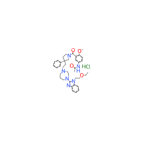 CCOCCn1c(N2CCCN(CCC3(c4ccccc4)CCN(C(=O)c4cc(NC(C)=O)ccc4OC)C3)CC2)nc2ccccc21.Cl